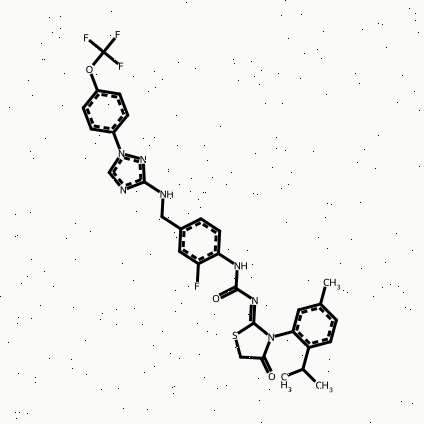 Cc1ccc(C(C)C)c(N2C(=O)CS/C2=N\C(=O)Nc2ccc(CNc3ncn(-c4ccc(OC(F)(F)F)cc4)n3)cc2F)c1